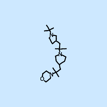 CC(C)(C)N1CCC(CC(C)(C)N2CCC(CC(C)(C)N3CCOCC3)CC2)C1